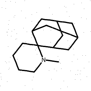 CN1CCCCC12C1CC3CC(C1)CC2C3